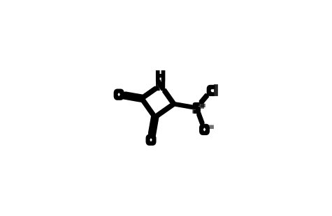 O=C1NC([S+]([O-])Cl)C1=O